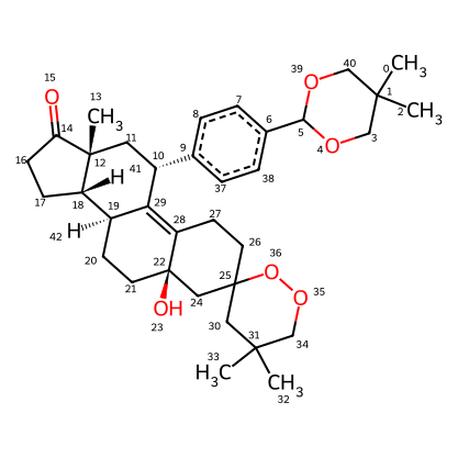 CC1(C)COC(c2ccc([C@H]3C[C@@]4(C)C(=O)CC[C@H]4[C@@H]4CC[C@@]5(O)CC6(CCC5=C43)CC(C)(C)COO6)cc2)OC1